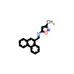 Cc1cc(N=Cc2cc3ccccc3c3ccccc23)on1